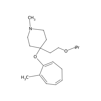 CC1=CC=CCC=C1OC1(CCOC(C)C)CCN(C)CC1